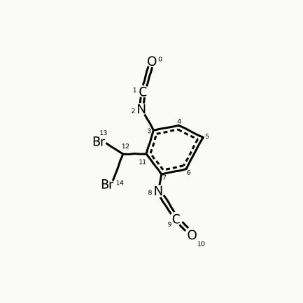 O=C=Nc1cccc(N=C=O)c1C(Br)Br